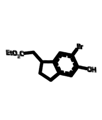 CCOC(=O)CC1CCc2cc(O)c(Br)cc21